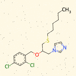 CCCCCCSCC(Cn1ccnc1)OCc1ccc(Cl)cc1Cl